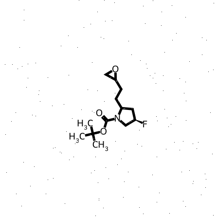 CC(C)(C)OC(=O)N1C[C@H](F)CC1CCC1CO1